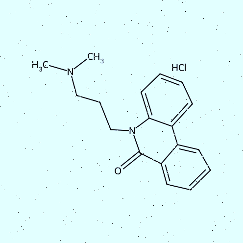 CN(C)CCCn1c(=O)c2ccccc2c2ccccc21.Cl